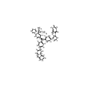 CC1(C)c2ccccc2-c2ccc(N(c3ccc(-c4ccc5sc6ccccc6c5c4)cc3)c3ccc(-c4cccc5c4sc4ccccc45)cc3)cc21